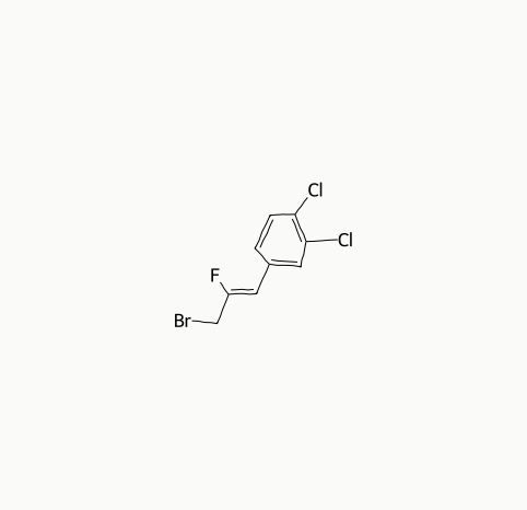 FC(=Cc1ccc(Cl)c(Cl)c1)CBr